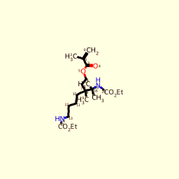 C=C(C)C(=O)OCCC(C)(CCCCNC(=O)OCC)C(C)(C)NC(=O)OCC